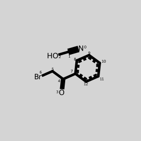 N#CO.O=C(CBr)c1ccccc1